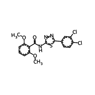 COc1cccc(OC)c1C(=O)Nc1nnc(-c2ccc(Cl)c(Cl)c2)s1